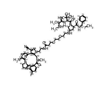 CC[C@H](NC(=O)[C@H]1C[C@@H](NCCOCCOCCC(=O)NCCn2nc(C#N)c3c2CN(C)C(=O)c2ccc(F)cc2[C@H]2CCCN2c2nc-3cnc2N)CN1C(=O)[C@H](NC(=O)[C@@H](C)NC)C(C)(C)C)c1ccccc1